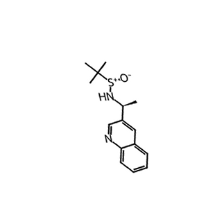 C[C@H](N[S@+]([O-])C(C)(C)C)c1cnc2ccccc2c1